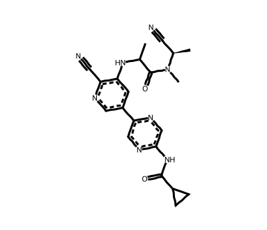 CC(Nc1cc(-c2cnc(NC(=O)C3CC3)cn2)cnc1C#N)C(=O)N(C)[C@H](C)C#N